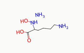 N.NCCCCC(NO)C(=O)O